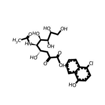 CC(=O)N[C@@H]([C@@H](O)[C@H](O)[C@H](O)CO)[C@@H](O)CC(=O)C(=O)O.Oc1ccc(Cl)c2ccccc12